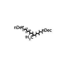 [CH2]C(CCCCCCCCCCCCCCC)CCCCCCCCCCCCCCCC